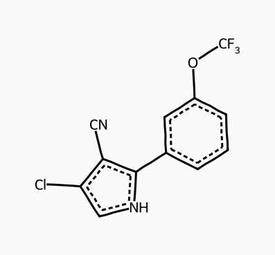 N#Cc1c(Cl)c[nH]c1-c1cccc(OC(F)(F)F)c1